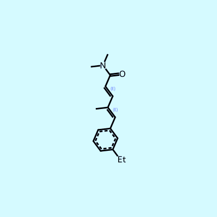 CCc1cccc(/C=C(C)/C=C/C(=O)N(C)C)c1